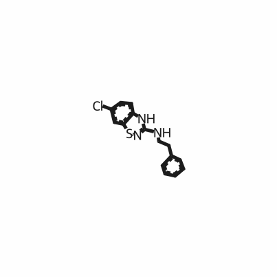 Clc1ccc2c(c1)SN=C(NCCc1ccccc1)N2